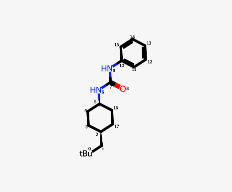 CC(C)(C)C[C@H]1CC[C@@H](NC(=O)Nc2ccccc2)CC1